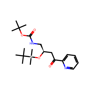 CC(C)(C)OC(=O)NC[C@@H](CC(=O)c1ccccn1)O[Si](C)(C)C(C)(C)C